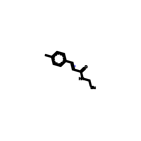 Cc1ccc(/C=C/C(=O)NCC(C)(C)C)cc1